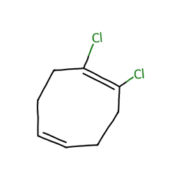 Cl/C1=C(\Cl)CC/C=C\CC1